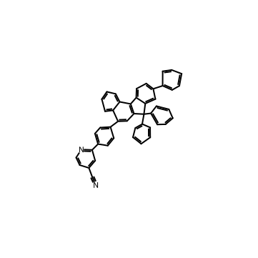 N#Cc1ccnc(-c2ccc(-c3cc4c(c5ccccc35)-c3ccc(-c5ccccc5)cc3C4(c3ccccc3)c3ccccc3)cc2)c1